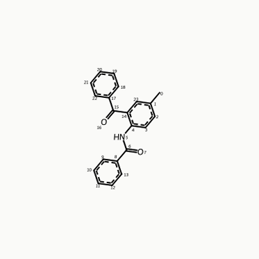 Cc1ccc(NC(=O)c2ccccc2)c(C(=O)c2ccccc2)c1